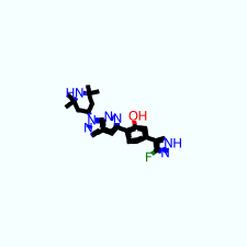 CC1(C)CC(n2ncc3cc(-c4ccc(-c5c[nH]nc5F)cc4O)nnc32)CC(C)(C)N1